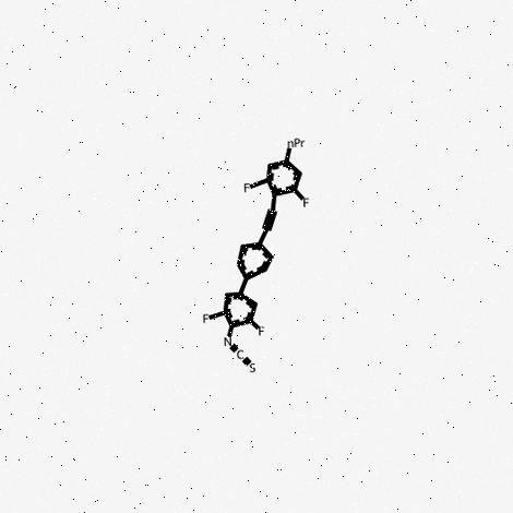 CCCc1cc(F)c(C#Cc2ccc(-c3cc(F)c(N=C=S)c(F)c3)cc2)c(F)c1